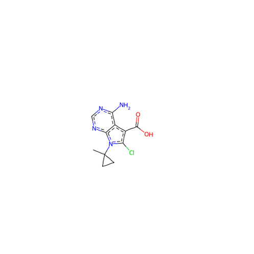 CC1(n2c(Cl)c(C(=O)O)c3c(N)ncnc32)CC1